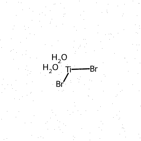 O.O.[Br][Ti][Br]